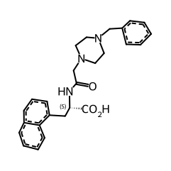 O=C(CN1CCN(Cc2ccccc2)CC1)N[C@@H](Cc1cccc2ccccc12)C(=O)O